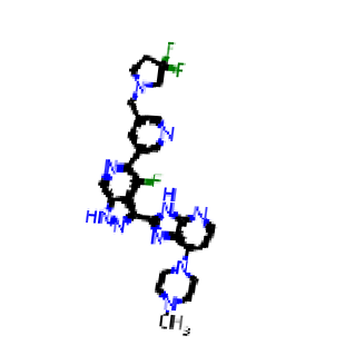 CN1CCN(c2ccnc3[nH]c(-c4n[nH]c5cnc(-c6cncc(CN7CCC(F)(F)C7)c6)c(F)c45)nc23)CC1